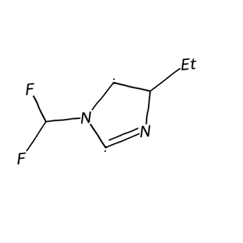 CCC1[CH]N(C(F)F)[C]=N1